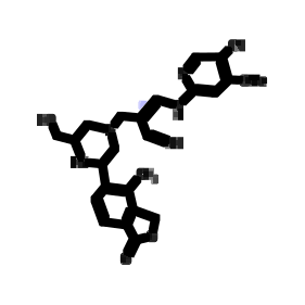 COc1cc(N/C=C(\C=N)CN2CC(CO)NC(c3ccc4c(c3C)COC4=O)C2)ncc1C#N